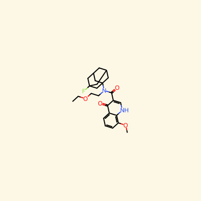 CCOCCN(C(=O)c1c[nH]c2c(OC)cccc2c1=O)C12CC3CC(CC(F)(C3)C1)C2